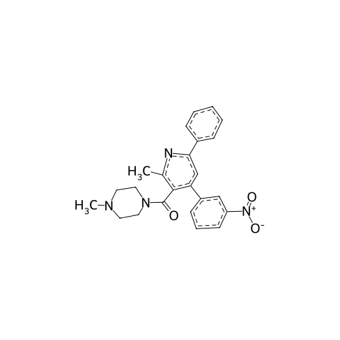 Cc1nc(-c2ccccc2)cc(-c2cccc([N+](=O)[O-])c2)c1C(=O)N1CCN(C)CC1